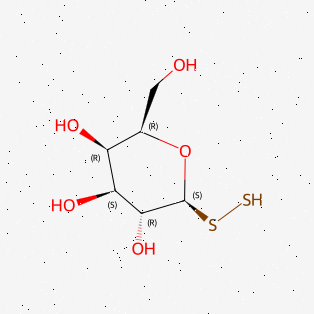 OC[C@H]1O[C@@H](SS)[C@H](O)[C@@H](O)[C@H]1O